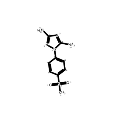 CS(=O)(=O)c1ccc(-n2nc(N)nc2N)cc1